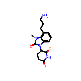 Cn1c(=O)n(C2CCC(=O)NC2=O)c2cccc(CCCN)c21